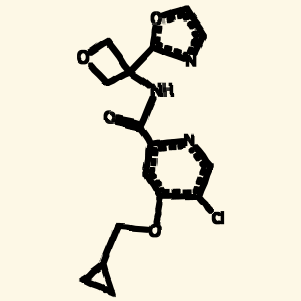 O=C(NC1(c2ncco2)COC1)c1cc(OCC2CC2)c(Cl)cn1